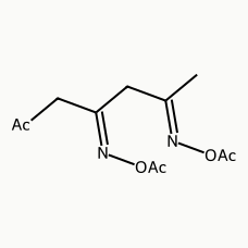 CC(=O)CC(CC(C)=NOC(C)=O)=NOC(C)=O